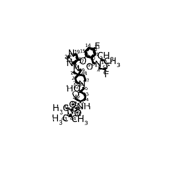 CC(C)N(CC(F)F)C(=O)c1cc(F)ccc1Oc1cncnc1N1CC2(CCN(C[C@@]3(O)CC[C@@H](NS(=O)(=O)N(C)C(C)C)CO3)CC2)C1